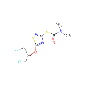 CN(C)C(=O)Sc1nsc(OC(CF)CF)n1